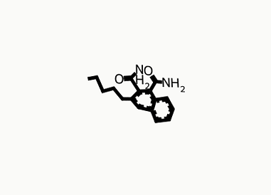 CCCCCc1cc2ccccc2c(C(N)=O)c1C(N)=O